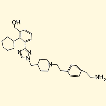 NCCc1ccc(CCN2CCC(Cn3cnc(-c4cccc(CO)c4C4CCCCC4)n3)CC2)cc1